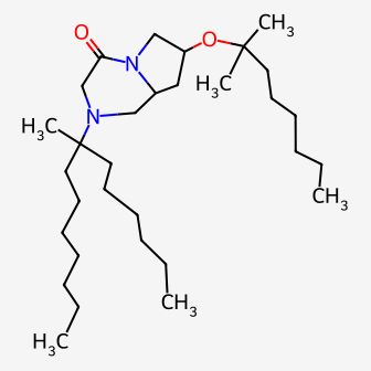 CCCCCCCC(C)(CCCCCC)N1CC(=O)N2CC(OC(C)(C)CCCCCC)CC2C1